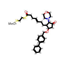 COSCCSC(=O)CC/C=C/CCC1C(OCc2ccc(-c3ccccc3)cc2)CC(=O)C1N1CCOCC1